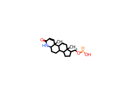 CC12C=CC(=O)NC1CCC1C2CCC2(C)C(COPO)CCC12